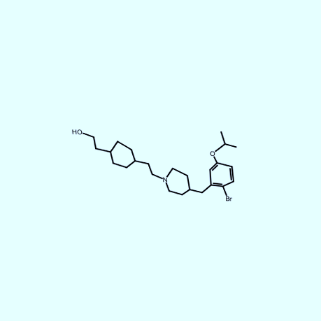 CC(C)Oc1ccc(Br)c(CC2CCN(CCC3CCC(CCO)CC3)CC2)c1